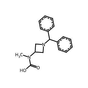 CN(C(=O)O)C1CN(C(c2ccccc2)c2ccccc2)C1